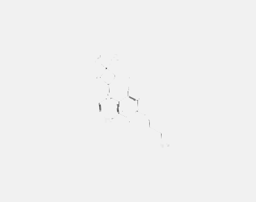 C=CN(C(=C(/C)C(C)CC)/C(=C\COCCC(C)CC)C(F)(F)F)C1CC(C)(O)C1